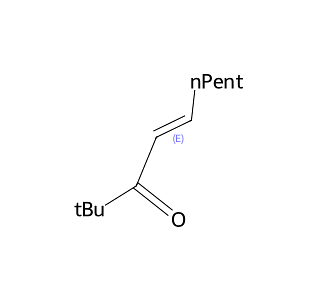 CCCCC/C=C/C(=O)C(C)(C)C